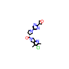 Cc1nc2c(c(C)c1Cl)CN(C(=O)[C@@H]1CCN(c3cnc(C4COC4)nc3)C1)C2